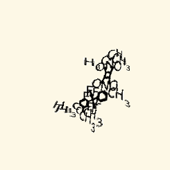 Cc1ccc(C(c2ccc(C)c(C(C)(C)C)c2)(C(F)(F)F)C(F)(F)F)cc1N1C(=O)C2C(C1=O)C1C(=O)N(C(C)(C)C)C(=O)C21